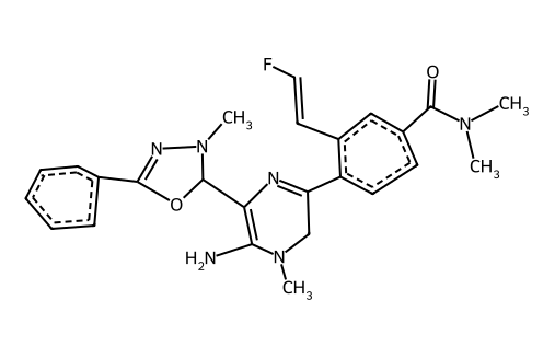 CN(C)C(=O)c1ccc(C2=NC(C3OC(c4ccccc4)=NN3C)=C(N)N(C)C2)c(/C=C/F)c1